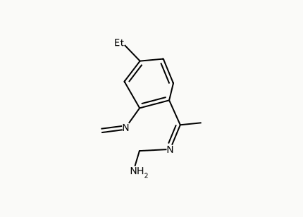 C=Nc1cc(CC)ccc1/C(C)=N\CN